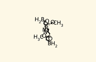 B[C@H]1C[C@@H](n2cc(C[C@H]3O[C@@H](B)C[C@H]3OC)nn2)[C@@H](COC)O1